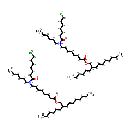 CCCCCCCCC(CCCCCC)COC(=O)CCCCCCCN(CCCCCC)C(=O)CCCCCCBr.CCCCCCCCC(CCCCCC)COC(=O)CCCCCCCN(CCCCCC)C(=O)CCCCCCBr